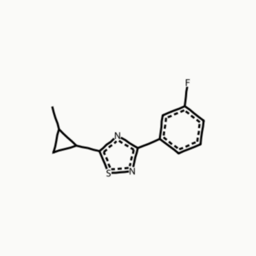 CC1CC1c1nc(-c2cccc(F)c2)ns1